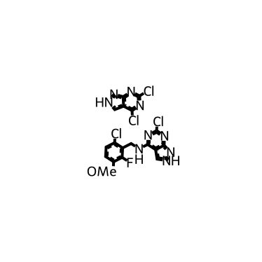 COc1ccc(Cl)c(CNc2nc(Cl)nc3n[nH]cc23)c1F.Clc1nc(Cl)c2c[nH]nc2n1